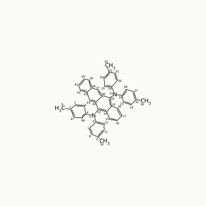 Cc1ccc(N(c2ccc(C)cc2)c2c3ccccc3c(N(c3ccc(C)cc3)c3ccc(C)cc3)c3cc4ccccc4cc23)cc1